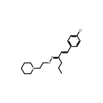 CCCC(/C=C/c1ccc(Cl)cc1)=N\OCCN1CCCCC1